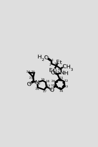 C=CCC(CC)(CC)C(C)NC(=O)c1cccc(OC2CCN(C(=O)C3CC3)CC2)c1